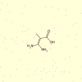 CC(C(=O)O)=C(N)N